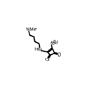 CNCCCCNc1c(C(C)(C)C)c(=O)c1=O